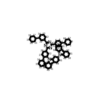 c1ccc(-c2ccc(-c3nc(-c4cccc(-c5ccccc5)c4)nc(-c4ccc(-c5ccccc5)c(-n5c6ccccc6c6ccc(-n7c8ccccc8c8ccccc87)cc65)c4)n3)cc2)cc1